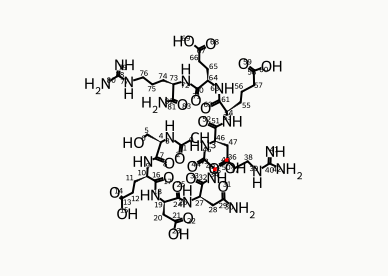 CC(=O)N[C@H](CO)C(=O)N[C@H](CCC(=O)O)C(=O)N[C@H](CC(=O)O)C(=O)N[C@H](CC(N)=O)C(=O)N[C@H](CCCNC(=N)N)C(=O)N[C@H](CC(=O)O)C(=O)N[C@H](CCCC(=O)O)C(=O)N[C@H](CCC(=O)O)C(=O)N[C@H](CCCNC(=N)N)C(N)=O